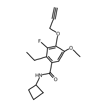 C#CCOc1c(OC)cc(C(=O)NC2CCC2)c(CC)c1F